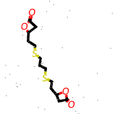 O=C1CC(CCSCCCSCCC2CC(=O)O2)O1